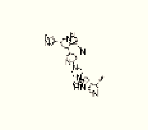 C#Cc1cncc(NS(=O)(=O)N2CCN(c3ccc(-c4cc(-c5cnn(C)c5)cn5ncc(C#N)c45)cn3)CC2)c1